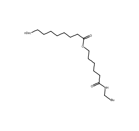 CCCCCCCCCCCCCCCCCC(=O)OCCCCCC(=O)NCC(C)CC